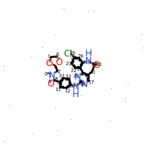 CN(CC1OCCO1)C(=O)c1ccc(Nc2ncc3c(n2)-c2ccc(Cl)cc2NC(=O)C3)cc1